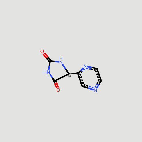 O=C1NC(=O)[C@H](c2cnccn2)N1